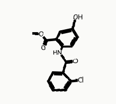 COC(=O)c1cc(O)ccc1NC(=O)c1ccccc1Cl